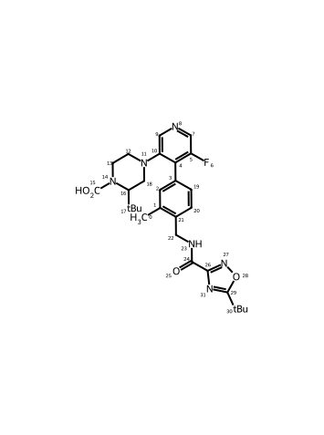 Cc1cc(-c2c(F)cncc2N2CCN(C(=O)O)C(C(C)(C)C)C2)ccc1CNC(=O)c1noc(C(C)(C)C)n1